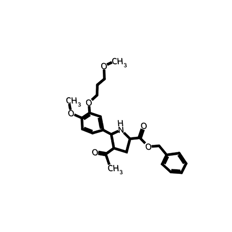 COCCCOc1cc(C2NC(C(=O)OCc3ccccc3)CC2C(C)=O)ccc1OC